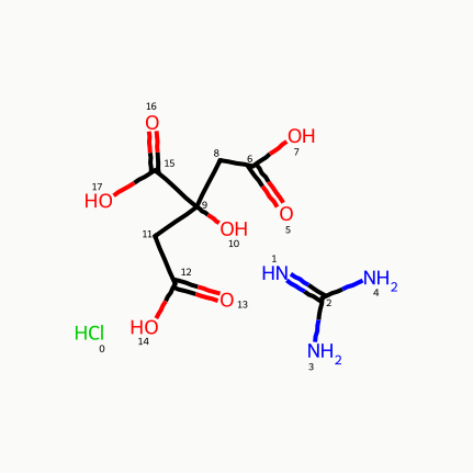 Cl.N=C(N)N.O=C(O)CC(O)(CC(=O)O)C(=O)O